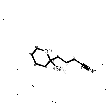 N#CCCCC1([SiH3])CCCCO1